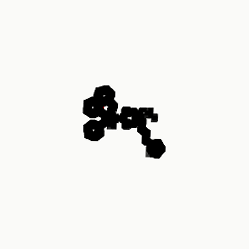 C[C@]1(CCCCn2cccn2)CO[C@@H](c2nc(-c3ccccc3)c(-c3ccccc3)n2Cc2ccccc2)OC1